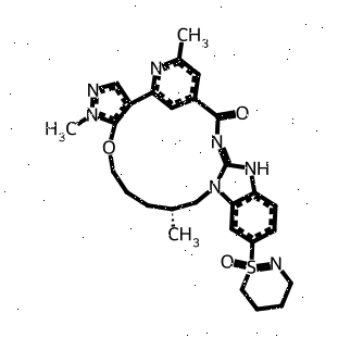 Cc1cc2cc(n1)-c1cnn(C)c1OCCC[C@@H](C)CN1/C(=N/C2=O)Nc2ccc(S3(=O)=NCCCC3)cc21